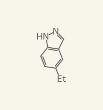 CCc1ccc2[nH]ncc2c1